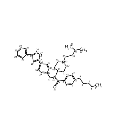 CCCCCc1ccc(C(=O)N(Cc2ccc(-c3cc(-c4ccccc4)no3)cc2)C2CCN(CCC(C)C)CC2)cc1